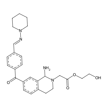 NC1c2cc(C(=O)c3ccc(C=NN4CCCCC4)cc3)ccc2CCN1CC(=O)OCCO